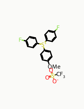 COc1ccc([S+](c2ccc(F)cc2)c2ccc(F)cc2)cc1.O=S(=O)([O-])C(F)(F)F